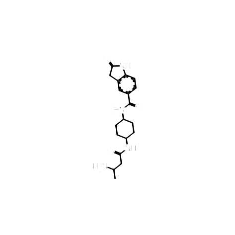 CC(N)CC(=O)NC1CCC(NC(=O)c2ccc3c(c2)CC(=O)N3)CC1